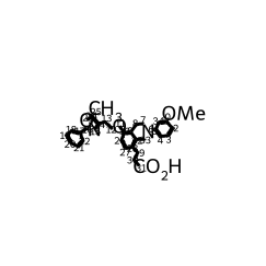 COc1cccc(N2CCc3c(OCCc4nc(-c5ccccc5)oc4C)ccc(CCC(=O)O)c3C2)c1